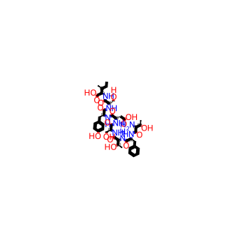 CC[C@H](C)[C@H](NC(=O)[C@H](CO)NC(=O)[C@H](Cc1ccc(O)cc1)NC(=O)[C@H](CC(=O)O)NC(=O)[C@H](CO)NC(=O)[C@@H](NC(=O)[C@H](Cc1ccccc1)NC(=O)[C@@H](N)[C@@H](C)O)[C@@H](C)O)C(=O)O